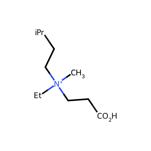 CC[N+](C)(CCC(=O)O)CCC(C)C